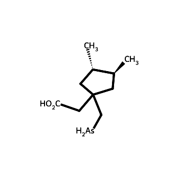 C[C@H]1CC(C[AsH2])(CC(=O)O)C[C@@H]1C